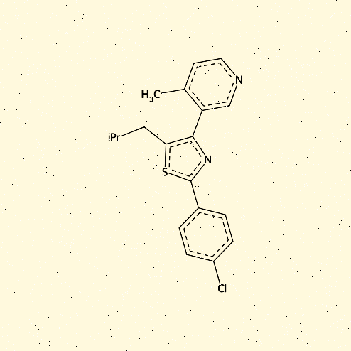 Cc1ccncc1-c1nc(-c2ccc(Cl)cc2)sc1CC(C)C